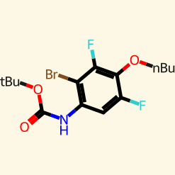 CCCCOc1c(F)cc(NC(=O)OC(C)(C)C)c(Br)c1F